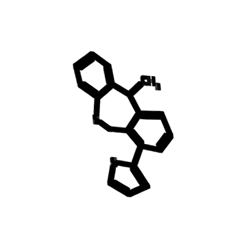 CC1c2ccccc2SCc2c(-c3cccs3)cccc21